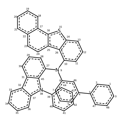 c1ccc(-c2cccc(N(c3cccc4sc5c6ccccc6ccc5c34)c3cccc4c5ccccc5n(-c5ccccc5)c34)c2)cc1